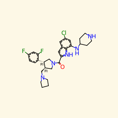 O=C(c1cc2cc(Cl)cc(NC3CCNCC3)c2[nH]1)N1C[C@@H](CN2CCCC2)[C@H](c2ccc(F)cc2F)C1